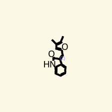 Cc1cc(/C=C2\C(=O)Nc3ccccc32)oc1C